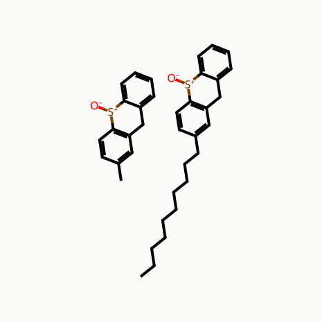 CCCCCCCCCCc1ccc2c(c1)Cc1ccccc1[S+]2[O-].Cc1ccc2c(c1)Cc1ccccc1[S+]2[O-]